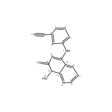 N#Cc1cccc(Nc2nc(=O)n(O)c3ncccc23)c1